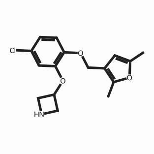 Cc1cc(COc2ccc(Cl)cc2OC2CNC2)c(C)o1